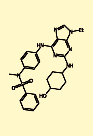 CCn1cnc2c(Nc3ccc(N(C)S(=O)(=O)c4ccccc4)cc3)nc(NC3CCC(O)CC3)nc21